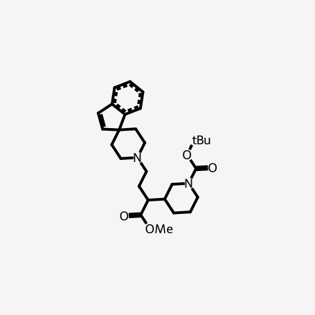 COC(=O)C(CCN1CCC2(C=Cc3ccccc32)CC1)C1CCCN(C(=O)OC(C)(C)C)C1